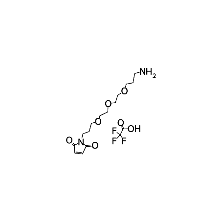 NCCCOCCOCCOCCCN1C(=O)C=CC1=O.O=C(O)C(F)(F)F